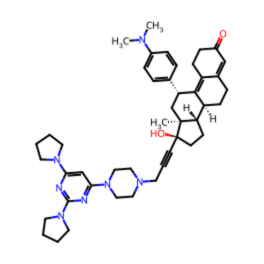 CN(C)c1ccc([C@H]2C[C@@]3(C)[C@@H](CC[C@]3(O)C#CCN3CCN(c4cc(N5CCCC5)nc(N5CCCC5)n4)CC3)[C@@H]3CCC4=CC(=O)CCC4=C32)cc1